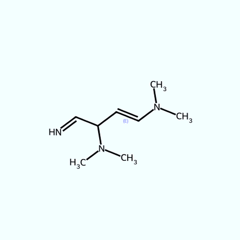 CN(C)/C=C/C(C=N)N(C)C